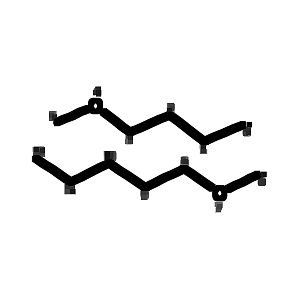 [CH2]CCCOC.[CH2]OCCCCC